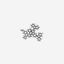 N#Cc1ccc(-c2c(-c3ccccc3)cnc(-n3c4ccc(-n5c6ccccc6c6ccccc65)cc4c4cc(-n5c6ccccc6c6ccccc65)ccc43)c2-c2ccccc2)cc1